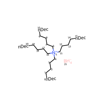 CCCCCCCCCCCCCC[N+](CCCCCCCCCCCCCC)(CCCCCCCCCCCCCC)CCCCCCCCCCCCCC.[BH4-]